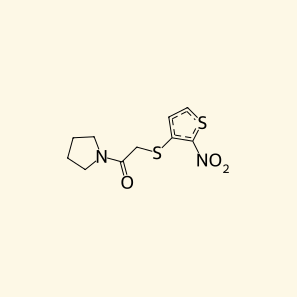 O=C(CSc1ccsc1[N+](=O)[O-])N1CCCC1